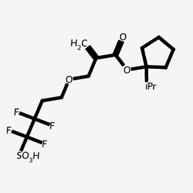 C=C(COCCC(F)(F)C(F)(F)S(=O)(=O)O)C(=O)OC1(C(C)C)CCCC1